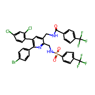 O=C(NCc1cc(-c2ccc(Cl)cc2Cl)c(-c2ccc(Br)cc2)nc1CNS(=O)(=O)c1ccc(C(F)(F)F)cc1)c1ccc(C(F)(F)F)cc1